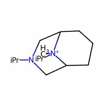 CC(C)N1CC2CCCC(C1)[N+]2(C)C(C)C